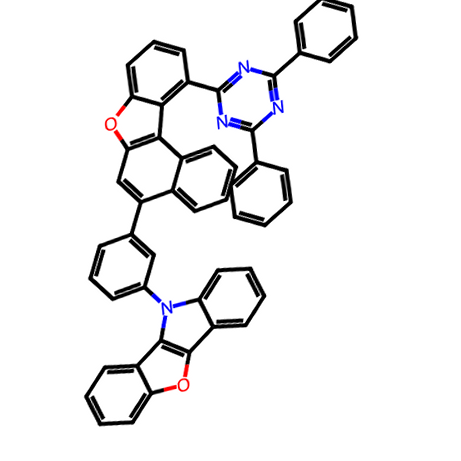 c1ccc(-c2nc(-c3ccccc3)nc(-c3cccc4oc5cc(-c6cccc(-n7c8ccccc8c8oc9ccccc9c87)c6)c6ccccc6c5c34)n2)cc1